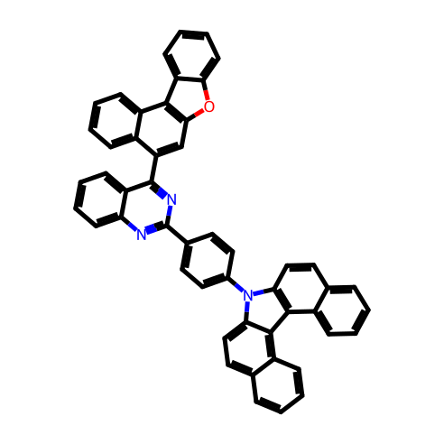 c1ccc2c(c1)ccc1c2c2c3ccccc3ccc2n1-c1ccc(-c2nc(-c3cc4oc5ccccc5c4c4ccccc34)c3ccccc3n2)cc1